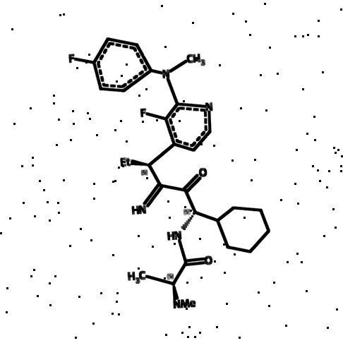 CC[C@H](C(=N)C(=O)[C@@H](NC(=O)[C@H](C)NC)C1CCCCC1)c1ccnc(N(C)c2ccc(F)cc2)c1F